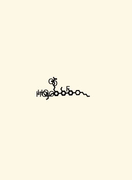 C=C(C)C(=O)OCCCc1cc(-c2ccc(-c3ccc(C4CCC(CCCCC)CC4)cc3F)cc2CC)ccc1OCC(CC)(CO)CO